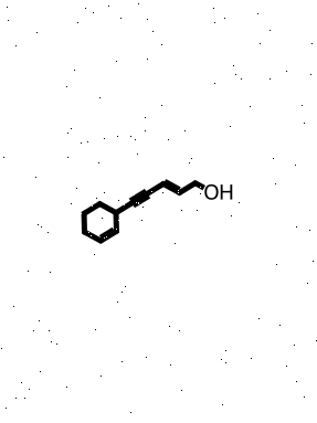 OCC=CC#CC1C=CCCC1